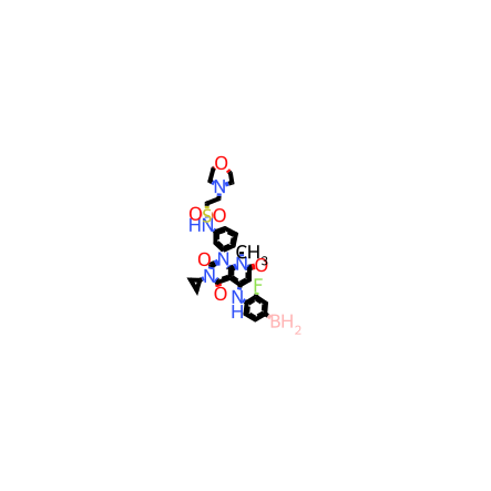 Bc1ccc(Nc2cc(=O)n(C)c3c2c(=O)n(C2CC2)c(=O)n3-c2cccc(NS(=O)(=O)CCN3CCOCC3)c2)c(F)c1